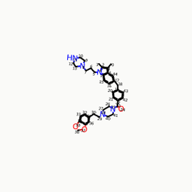 Cc1c(C)n(CCCN2CCNCC2)c2ccc(Cc3ccc(C(=O)N4CCN(CCc5ccc6c(c5)OCO6)CC4)cc3)cc12